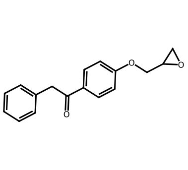 O=C(Cc1ccccc1)c1ccc(OCC2CO2)cc1